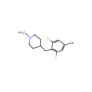 N#Cc1cc(F)c(CC2CCN(C(=O)O)CC2)c(F)c1